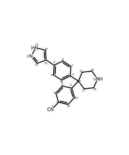 [C-]#[N+]c1ccc(C2(c3ccc(-c4cn[nH]c4)cc3)CCNCC2)cc1